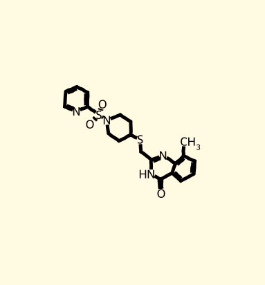 Cc1cccc2c(=O)[nH]c(CSC3CCN(S(=O)(=O)c4ccccn4)CC3)nc12